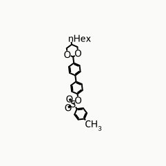 CCCCCCC1COC(c2ccc(-c3ccc(OS(=O)(=O)c4ccc(C)cc4)cc3)cc2)OC1